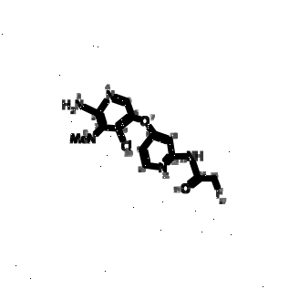 CNc1c(N)ncc(Oc2ccnc(NC(=O)CF)c2)c1Cl